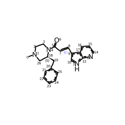 CN1CCN(C(=O)/C=C/c2c[nH]c3ncccc23)[C@@H](Cc2ccccc2)C1